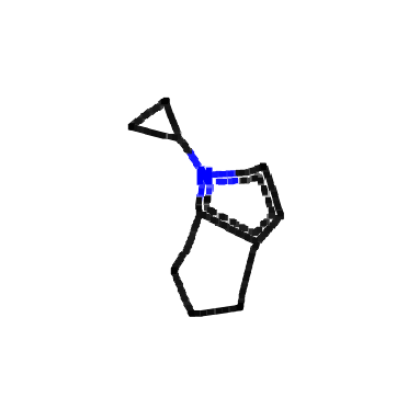 c1cn(C2CC2)c2c1CCC2